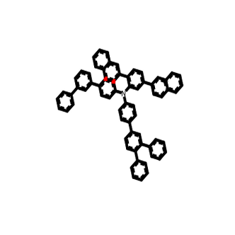 c1ccc(-c2cccc(-c3ccc(N(c4ccc(-c5ccc(-c6ccccc6)c(-c6ccccc6)c5)cc4)c4cc(-c5ccc6ccccc6c5)ccc4-c4ccc5ccccc5c4)cc3)c2)cc1